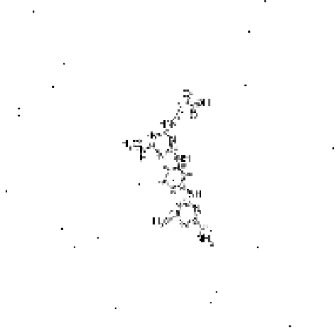 CNc1nc(NCCS(=O)(=O)O)nc(Nc2cccc(Nc3nc(C)nc(CN)n3)c2)n1